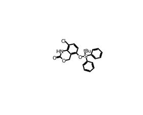 CC(C)(C)[Si](Oc1ccc(Cl)c2c1COC(=O)N2)(c1ccccc1)c1ccccc1